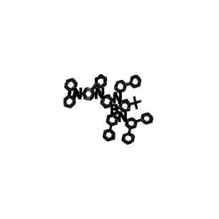 CC(C)(C)c1cc2c3c(c1)N(c1cccc(-c4ccccc4)c1)c1cc(-n4c5ccccc5c5cc(-n6c7ccccc7c7ccccc76)ccc54)ccc1B3c1ccc(-c3ccccc3)cc1N2c1cc(-c2ccccc2)cc(-c2ccccc2)c1